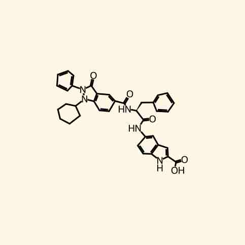 O=C(N[C@@H](Cc1ccccc1)C(=O)Nc1ccc2[nH]c(C(=O)O)cc2c1)c1ccc2c(c1)c(=O)n(-c1ccccc1)n2C1CCCCC1